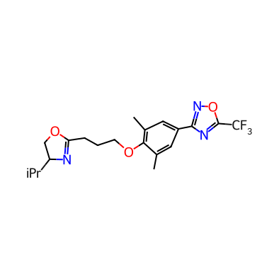 Cc1cc(-c2noc(C(F)(F)F)n2)cc(C)c1OCCCC1=NC(C(C)C)CO1